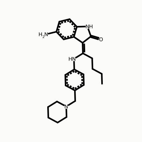 CCCCC(Nc1ccc(CN2CCCCC2)cc1)=C1C(=O)Nc2ccc(N)cc21